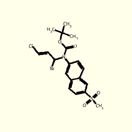 CC(C)(C)OC(=O)N(c1ccc2cc(S(C)(=O)=O)ccc2c1)C(Br)C=CCl